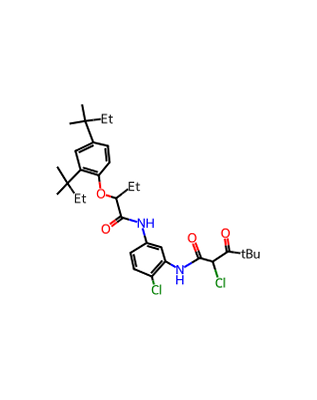 CCC(Oc1ccc(C(C)(C)CC)cc1C(C)(C)CC)C(=O)Nc1ccc(Cl)c(NC(=O)C(Cl)C(=O)C(C)(C)C)c1